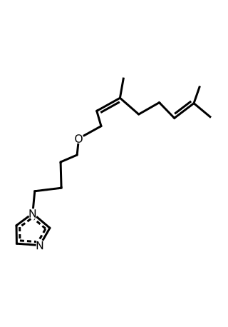 CC(C)=CCCC(C)=CCOCCCCn1ccnc1